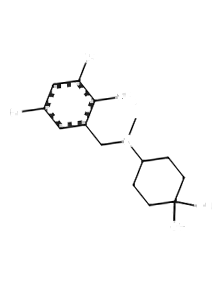 CN(Cc1cc(Br)cc(Br)c1N)C1CCC(O)(O)CC1